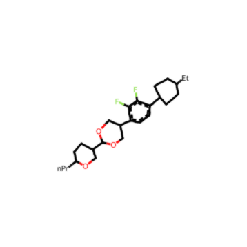 CCCC1CCC(C2OCC(c3ccc(C4CCC(CC)CC4)c(F)c3F)CO2)CO1